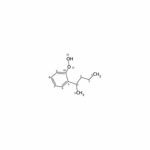 CCCC(C)c1ccccc1OO